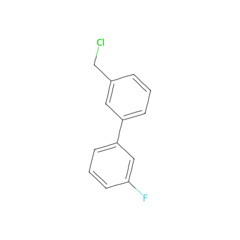 Fc1cccc(-c2cccc(CCl)c2)c1